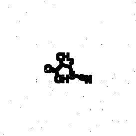 CC(CSC#N)C(=O)O